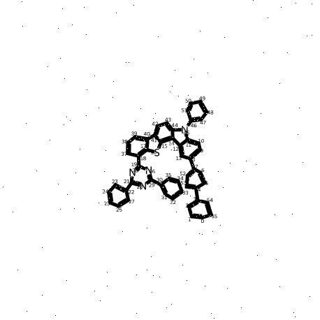 c1ccc(-c2ccc(-c3ccc4c(c3)c3c5sc6c(-c7nc(-c8ccccc8)nc(-c8ccccc8)n7)cccc6c5ccc3n4-c3ccccc3)cc2)cc1